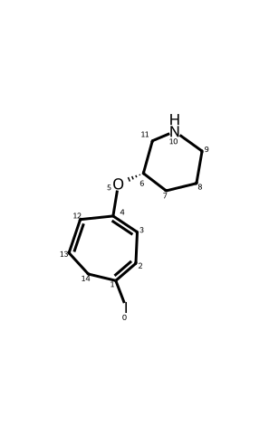 IC1=CC=C(O[C@H]2CCCNC2)C=CC1